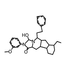 CCC1CCCC2C1CC1C2CC2C(=O)N(c3cccc(OC)c3)C(O)N2C1CCc1ccccc1